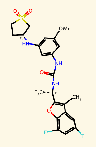 COc1cc(NC(=O)N[C@H](c2oc3c(F)cc(F)cc3c2C)C(F)(F)F)cc(N[C@@H]2CCS(=O)(=O)C2)c1